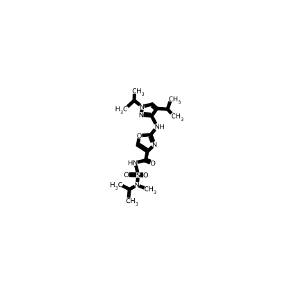 CC(C)c1cn(C(C)C)nc1Nc1nc(C(=O)NS(=O)(=O)N(C)C(C)C)co1